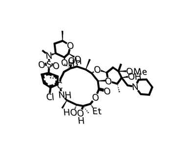 CC[C@H]1OC(=O)[C@H](C)[C@@H](O[C@H]2C[C@@](C)(OC)[C@](O)(CN3CCCCC3)[C@H](C)O2)[C@H](C)[C@@H](O[C@@H]2O[C@H](C)C[C@H](N(C)S(=O)(=O)c3ccc(Cl)cc3)[C@H]2O)[C@](C)(O)C[C@@H](C)CN[C@H](C)[C@@H](O)[C@]1(C)O